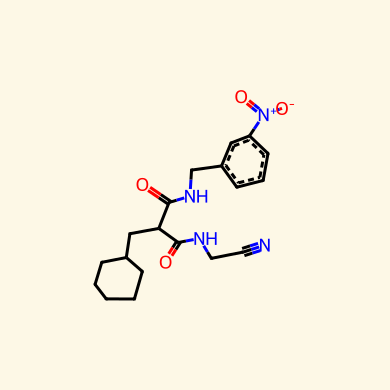 N#CCNC(=O)C(CC1CCCCC1)C(=O)NCc1cccc([N+](=O)[O-])c1